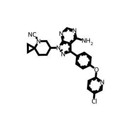 N#CN1CC(n2nc(-c3ccc(Oc4ccc(Cl)cn4)cc3)c3c(N)ncnc32)CCC12CC2